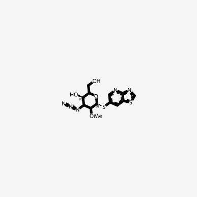 COC1C(N=[N+]=[N-])[C@@H](O)C(CO)O[C@@H]1Sc1cnc2ncsc2c1